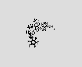 CC(C)(C)[Si](C)(C)O[C@@H]1[C@H](O[Si](C)(C)C(C)(C)C)[C@@H](CO[PH]2(S)OCC(c3c(F)c(F)c(F)c(F)c3F)O2)O[C@H]1n1cnc2c(N)ncnc21